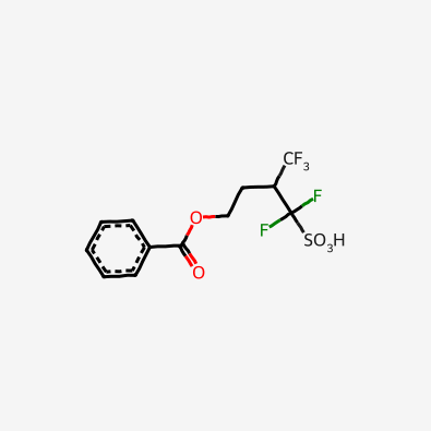 O=C(OCCC(C(F)(F)F)C(F)(F)S(=O)(=O)O)c1ccccc1